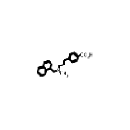 CN(C/C=C/c1ccc(C(=O)O)cc1)Cc1cccc2ccccc12